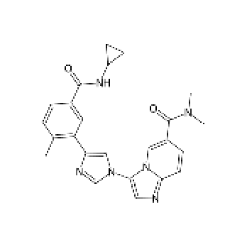 Cc1ccc(C(=O)NC2CC2)cc1-c1cn(-c2cnc3ccc(C(=O)N(C)C)cn23)cn1